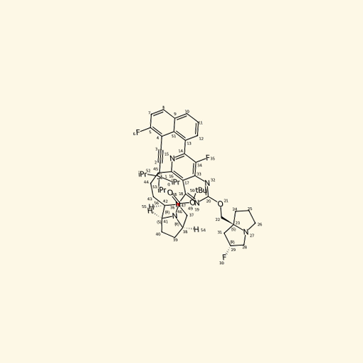 CC(C)[Si](C#Cc1c(F)ccc2cccc(-c3nc4c5c(nc(OC[C@@]67CCCN6C[C@H](F)C7)nc5c3F)N3C[C@H]5CC[C@@H]([C@H]3CCC4)N5C(=O)OC(C)(C)C)c12)(C(C)C)C(C)C